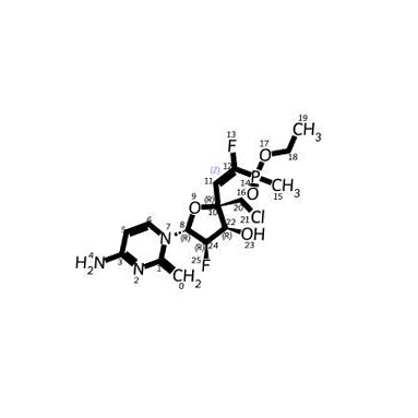 C=C1N=C(N)C=CN1[C@@H]1O[C@@](/C=C(/F)P(C)(=O)OCC)(CCl)[C@@H](O)[C@H]1F